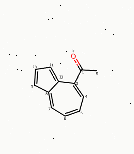 CC(=O)c1ccccc2cccc1-2